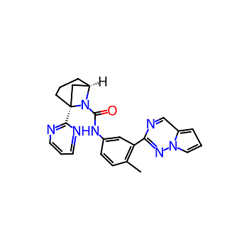 Cc1ccc(NC(=O)N2[C@@H]3CCC[C@@]2(c2ncccn2)C3)cc1-c1ncc2cccn2n1